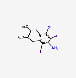 CC(=O)OCC(Cc1c(I)c(N)c(I)c(N)c1I)OC(C)=O